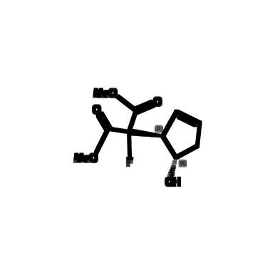 COC(=O)C(F)(C(=O)OC)[C@H]1C=CC[C@@H]1O